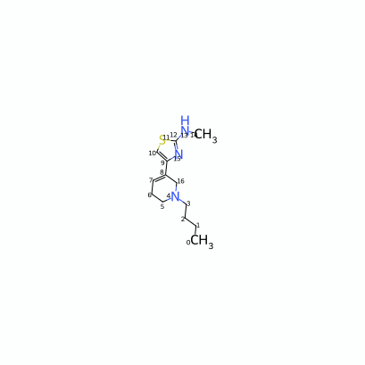 CCCCN1CCC=C(c2csc(NC)n2)C1